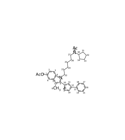 CC(=O)Oc1ccc2c(c1)c(C)c(-c1cc(-c3ccccc3)cs1)n2CCCCCCN(C(C)=O)C1CCCC1